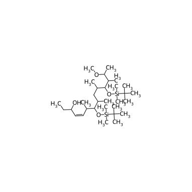 CCC(O)/C=C\C(C)C(O[Si](C)(C)C(C)(C)C)C(C)CC(C)C(O[Si](C)(C)C(C)(C)C)C(C)C(C)OC